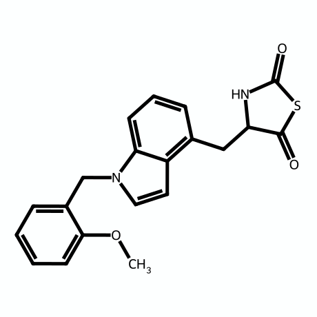 COc1ccccc1Cn1ccc2c(CC3NC(=O)SC3=O)cccc21